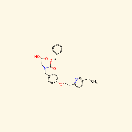 CCc1ccc(CCOc2ccc(CN(CC(=O)O)C(=O)OCc3ccccc3)cc2)nc1